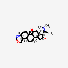 CC([C@H]1[C@H](O)C[C@@]2(C)C3CCC4C5(CC[C@@H]6NCOC[C@@]46C)C[C@@]35C(=O)C[C@]12C)N(C)C